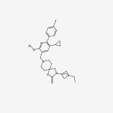 CCOc1nc(-c2ccc(F)cc2)c(C2CC2)cc1CN1CCC2(CC1)CN(C13CC(CI)(C1)C3)C(=O)O2